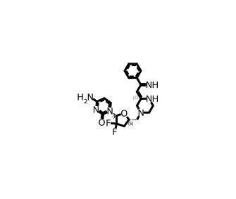 N=C(/C=C1/CN(C[C@@H]2CC(F)(F)[C@H](n3ccc(N)nc3=O)O2)CCN1)c1ccccc1